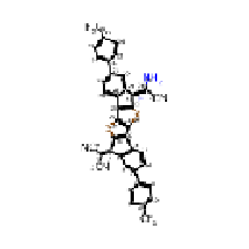 N#CC(C#N)=C1c2cc(-c3ccc(C(F)(F)F)cc3)ccc2-c2c1sc1c3c(sc21)/C(=C(/N)C#N)c1cc(-c2ccc(C(F)(F)F)cc2)ccc1-3